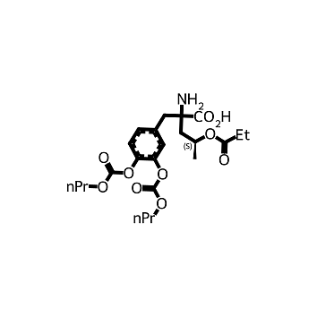 CCCOC(=O)Oc1ccc(CC(N)(C[C@H](C)OC(=O)CC)C(=O)O)cc1OC(=O)OCCC